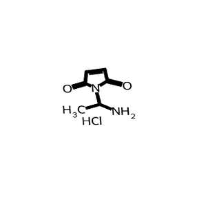 CC(N)N1C(=O)C=CC1=O.Cl